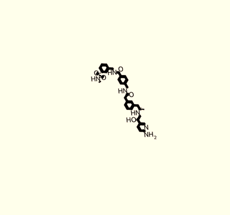 CNS(=O)(=O)c1cccc(CNC(=O)c2ccc(CNC(=O)Cc3cccc(C[C@@H](C)NC[C@@H](O)c4ccc(N)nc4)c3)cc2)c1